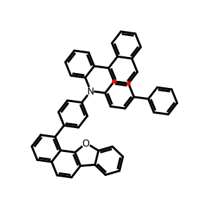 c1ccc(-c2ccc(N(c3ccc(-c4cccc5ccc6c7ccccc7oc6c45)cc3)c3ccccc3-c3cccc4ccccc34)cc2)cc1